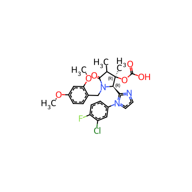 COc1ccc(CN2C(=O)C(C)[C@@](C)(OC(=O)O)[C@H]2c2nccn2-c2ccc(F)c(Cl)c2)c(OC)c1